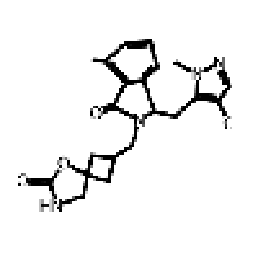 Cc1cccc2c1C(=O)N(CC1CC3(CNC(=O)O3)C1)C2Cc1c(Cl)cnn1C